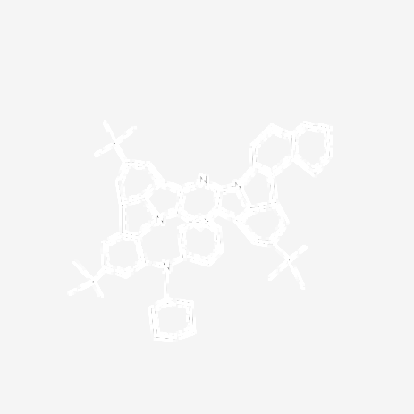 CC(C)(C)c1cc(N(c2ccccc2)c2ccccc2)c2c(c1)c1cc(C(C)(C)C)cc3c4nc5c(cc4n2c13)c1cc(C(C)(C)C)cc2c3c4ccccc4ccc3n5c12